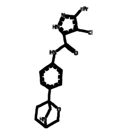 CCCc1n[nH]c(C(=O)Nc2ccc(C34CCC(CO3)NC4)cc2)c1Cl